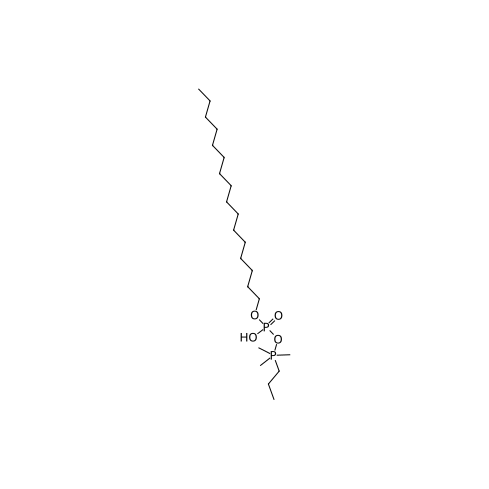 CCCCCCCCCCCCCCCCOP(=O)(O)OP(C)(C)(C)CCC